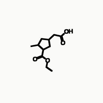 CCOC(=O)C1CC(CC(=O)O)CC1C